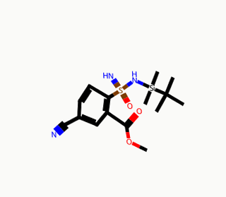 COC(=O)c1cc(C#N)ccc1S(=N)(=O)N[Si](C)(C)C(C)(C)C